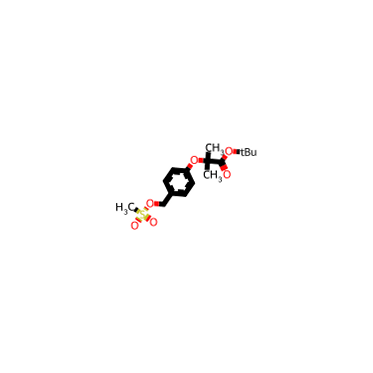 CC(C)(C)OC(=O)C(C)(C)Oc1ccc(COS(C)(=O)=O)cc1